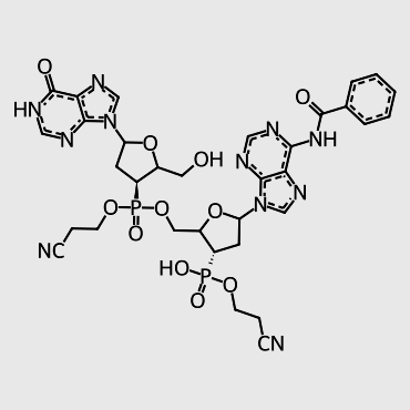 N#CCCOP(=O)(O)[C@H]1CC(n2cnc3c(NC(=O)c4ccccc4)ncnc32)OC1COP(=O)(OCCC#N)[C@H]1CC(n2cnc3c(=O)[nH]cnc32)OC1CO